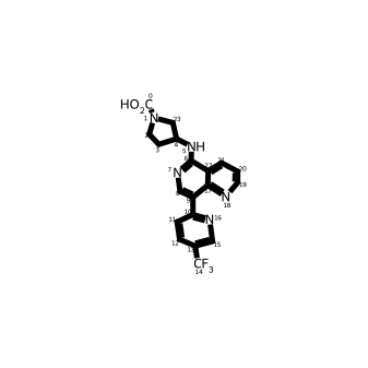 O=C(O)N1CCC(Nc2ncc(-c3ccc(C(F)(F)F)cn3)c3ncccc23)C1